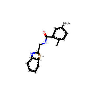 CC(=O)Nc1ccc(C)c(C(=O)NCc2nc3ccccc3s2)c1